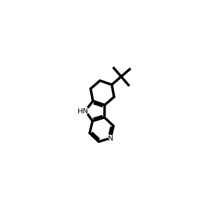 CC(C)(C)C1CCc2[nH]c3ccncc3c2C1